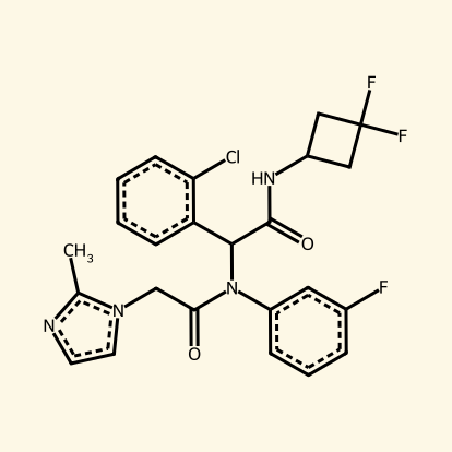 Cc1nccn1CC(=O)N(c1cccc(F)c1)C(C(=O)NC1CC(F)(F)C1)c1ccccc1Cl